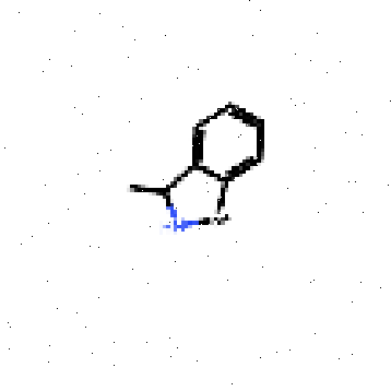 CC1N[Se]c2ccccc21